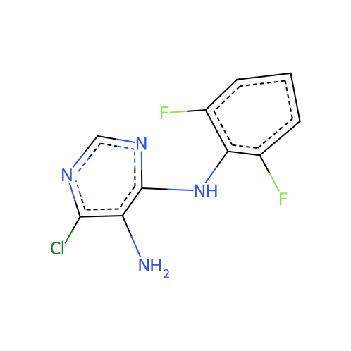 Nc1c(Cl)ncnc1Nc1c(F)cccc1F